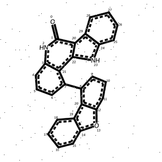 O=c1[nH]c2cccc(-c3cccc4oc5ccccc5c34)c2c2[nH]c3ccccc3c12